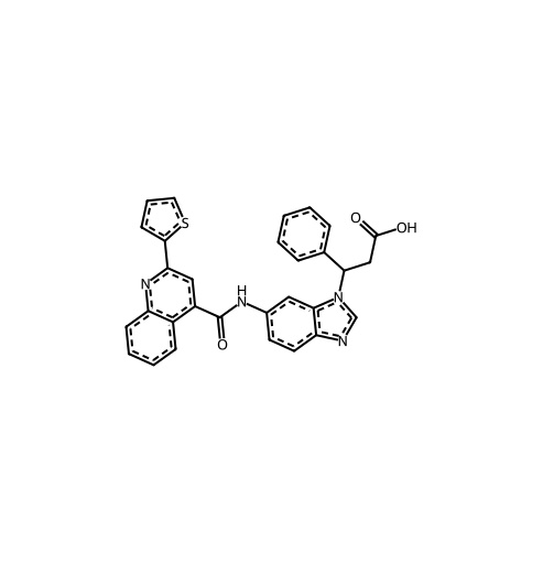 O=C(O)CC(c1ccccc1)n1cnc2ccc(NC(=O)c3cc(-c4cccs4)nc4ccccc34)cc21